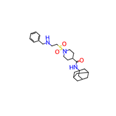 O=C(NC12CC3CC(CC(C3)C1)C2)C1CCN(S(=O)(=O)CCNCc2ccccc2)CC1